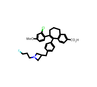 COc1ccc(C2=C(c3ccc(CC4CN(CCCF)C4)cc3)c3ccc(C(=O)O)cc3CCC2)c(Cl)c1